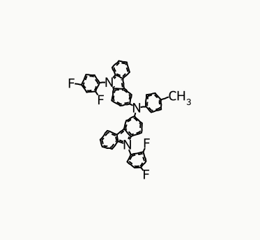 Cc1ccc(N(c2ccc3c(c2)c2ccccc2n3-c2ccc(F)cc2F)c2ccc3c(c2)c2ccccc2n3-c2ccc(F)cc2F)cc1